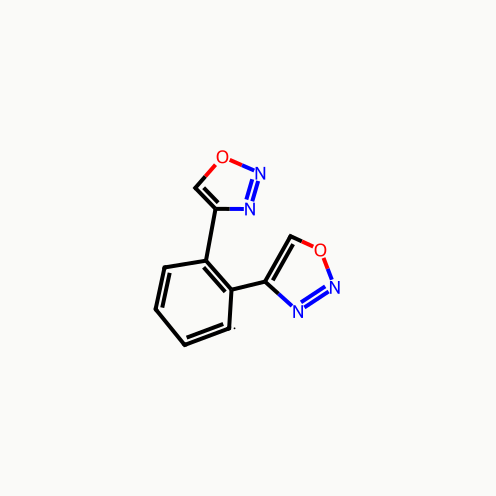 [c]1cccc(-c2conn2)c1-c1conn1